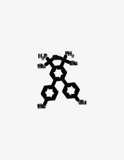 CC(C)(C)c1ccc(-c2cc(C(P)(C(C)(C)C)C(C)(C)C)c(C(P)(C(C)(C)C)C(C)(C)C)cc2-c2ccc(C(C)(C)C)cc2)cc1